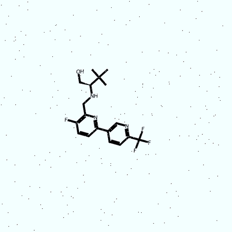 CC(C)(C)[C@H](CO)NCc1nc(-c2ccc(C(F)(F)F)nc2)ccc1F